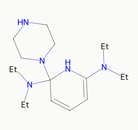 CCN(CC)C1=CC=CC(N(CC)CC)(N2CCNCC2)N1